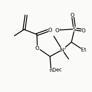 C=C(C)C(=O)OC(CCCCCCCCCC)[N+](C)(C)C(CC)S(=O)(=O)[O-]